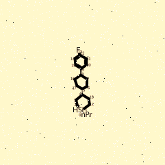 CCC[SiH]1CCC([C@H]2CC[C@H](c3ccc(F)cc3)CC2)CC1